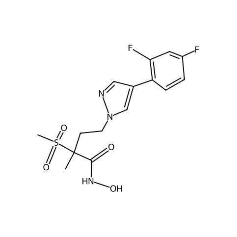 CC(CCn1cc(-c2ccc(F)cc2F)cn1)(C(=O)NO)S(C)(=O)=O